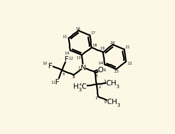 CCC(C)(C)C(=O)N(CC(F)(F)F)c1ccccc1-c1ccccc1